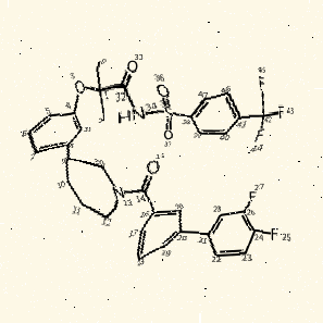 CC(C)(Oc1cccc(C2CCCN(C(=O)c3cccc(-c4ccc(F)c(F)c4)c3)C2)c1)C(=O)NS(=O)(=O)c1ccc(C(F)(F)F)cc1